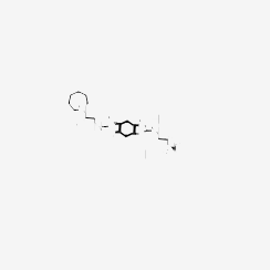 CN(C)C(=O)CNc1nc2cc3nc(NCC(=O)N4CCCCCC4)sc3cc2s1